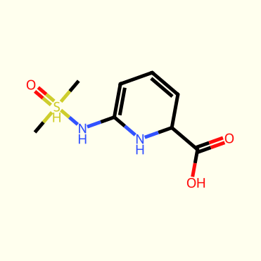 C[SH](C)(=O)NC1=CC=CC(C(=O)O)N1